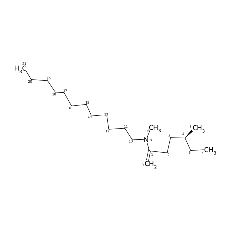 C=C(CC[C@@H](C)CC)N(C)CCCCCCCCCCCC